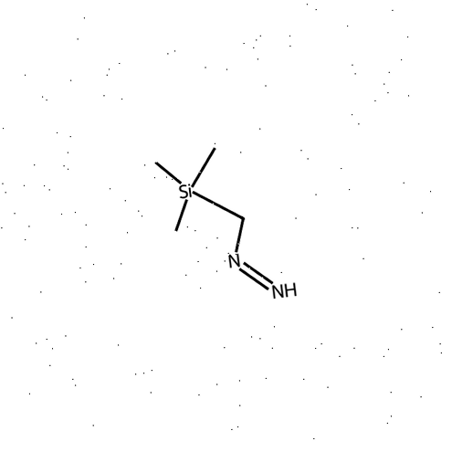 C[Si](C)(C)CN=N